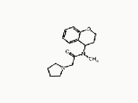 CN(C(=O)CN1CCCC1)C1CCOc2ccccc21